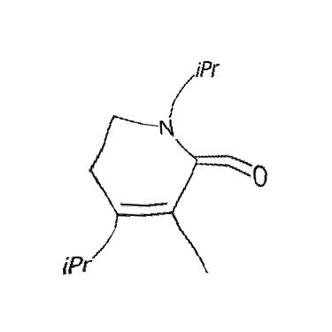 CC1=C(C(C)C)CCN(C(C)C)C1=O